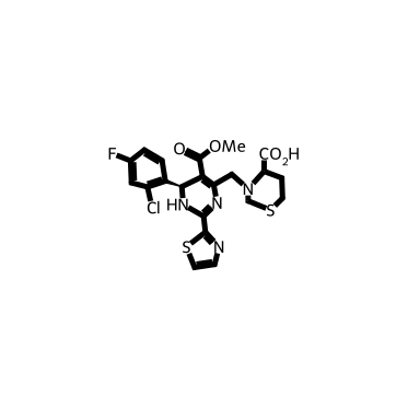 COC(=O)C1=C(CN2CSCCC2C(=O)O)N=C(c2nccs2)N[C@H]1c1ccc(F)cc1Cl